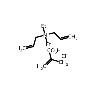 C=C(C)C(=O)O.C=CC[N+](CC)(CC)CC=C.[Cl-]